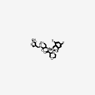 CC(C)CC(NC(=O)C1COCCN1S(=O)(=O)Cc1c(F)cc(F)cc1F)C(=O)NCc1cnn(C)c1